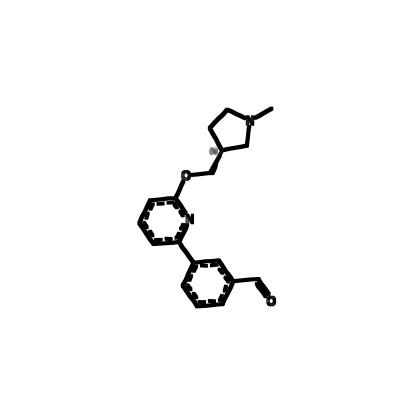 CN1CC[C@H](COc2cccc(-c3cccc(C=O)c3)n2)C1